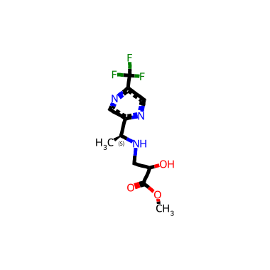 COC(=O)C(O)CN[C@@H](C)c1cnc(C(F)(F)F)cn1